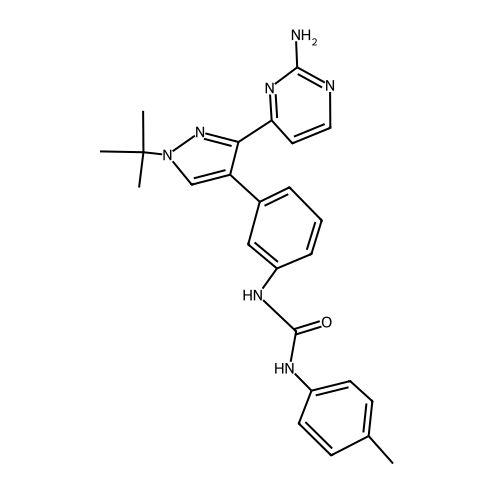 Cc1ccc(NC(=O)Nc2cccc(-c3cn(C(C)(C)C)nc3-c3ccnc(N)n3)c2)cc1